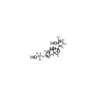 COc1cc2nc(CCC(C)(C)O)cn2cc1NC(=O)C1=CC=CN(C)C1O